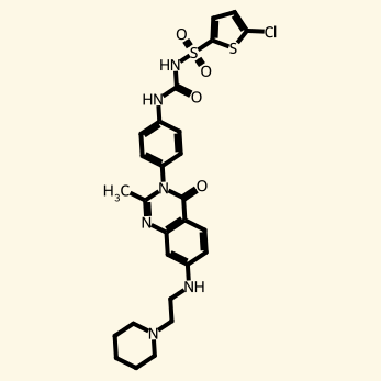 Cc1nc2cc(NCCN3CCCCC3)ccc2c(=O)n1-c1ccc(NC(=O)NS(=O)(=O)c2ccc(Cl)s2)cc1